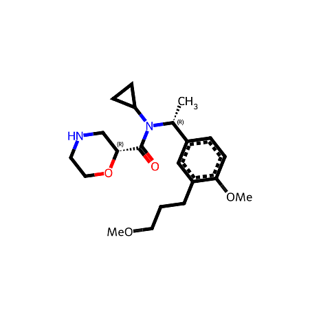 COCCCc1cc([C@@H](C)N(C(=O)[C@H]2CNCCO2)C2CC2)ccc1OC